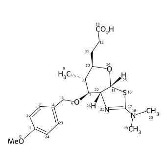 COc1ccc(CO[C@H]2[C@H](C)[C@@H](CCC(=O)O)O[C@@H]3SC(N(C)C)=N[C@H]23)cc1